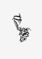 COc1ccc2ncc(CN3CCOCC3)c([C@H](F)CCC3(C(=O)O)CCN(CCSc4c(F)cc(F)cc4F)CC3)c2c1